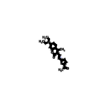 CCN(CC)c1ccc2c(C)c(/C=C/c3ccc(C(C)=O)s3)c(=O)oc2c1